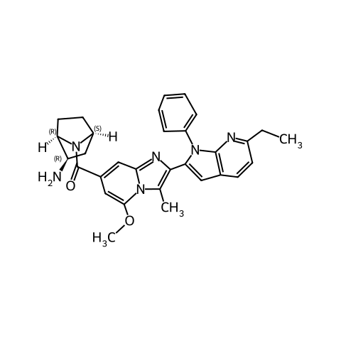 CCc1ccc2cc(-c3nc4cc(C(=O)N5[C@H]6CC[C@@H]5[C@H](N)C6)cc(OC)n4c3C)n(-c3ccccc3)c2n1